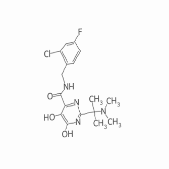 CN(C)C(C)(C)c1nc(O)c(O)c(C(=O)NCc2ccc(F)cc2Cl)n1